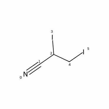 N#CC(I)CI